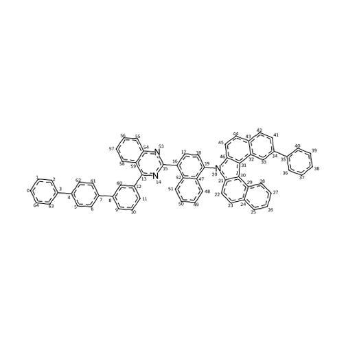 c1ccc(-c2ccc(-c3cccc(-c4nc(-c5ccc(-n6c7ccc8ccccc8c7c7c8cc(-c9ccccc9)ccc8ccc76)c6ccccc56)nc5ccccc45)c3)cc2)cc1